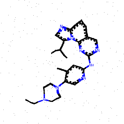 CCN1CCN(c2cnc(Nc3ncc4ccc5ncc(C(C)C)n5c4n3)cc2C)CC1